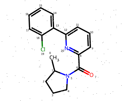 CC1CCCN1C(=O)c1cccc(-c2ccccc2Cl)n1